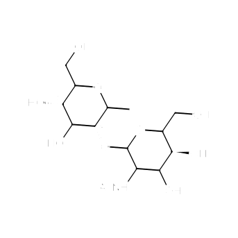 CC(=O)NC1C(O[C@H]2C(C)OC(CO)[C@@H](O)C2O)OC(CO)[C@@H](O)C1O